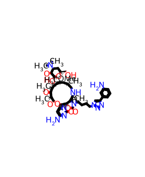 CC[C@H]1OC(=O)[C@H](C)C(=O)[C@H](C)[C@@H](O[C@@H]2O[C@H](CO)CC(N(C)C)C2O)[C@](C)(OC)C[C@@H](C)CN[C@H](C)[C@H]2N(CCCCn3cc(-c4cccc(N)c4)nn3)C(=O)O[C@]12n1ccc(N)nc1=O